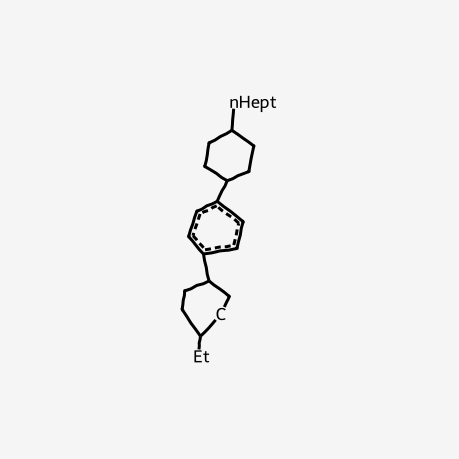 CCCCCCCC1CCC(c2ccc(C3CCC(CC)CC3)cc2)CC1